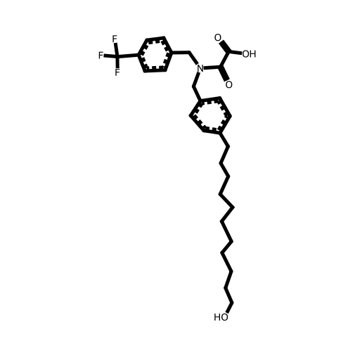 O=C(O)C(=O)N(Cc1ccc(CCCCCCCCCCCO)cc1)Cc1ccc(C(F)(F)F)cc1